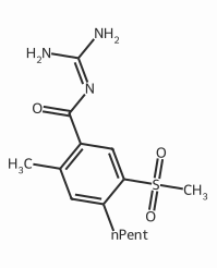 CCCCCc1cc(C)c(C(=O)N=C(N)N)cc1S(C)(=O)=O